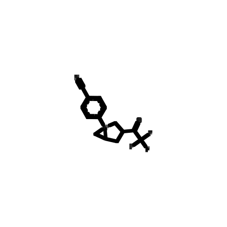 N#Cc1ccc([N+]23CC(C(=O)C(F)(F)F)CC2C3)cc1